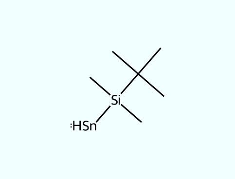 CC(C)(C)[Si](C)(C)[SnH]